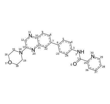 O=C(Nc1ccc(-c2ccc3ncc(N4CCOCC4)nc3c2)cc1)c1ccccn1